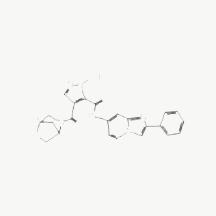 Cn1ncc(C(=O)N2C[C@@H]3C[C@H]2CO3)c1C(=O)Nc1ccn2cc(-c3ccccc3)nc2c1